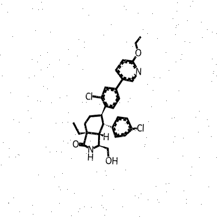 CCOc1ccc(-c2ccc([C@@H]3CC[C@@]4(CC)C(=O)N[C@H](CO)[C@H]4[C@H]3c3ccc(Cl)cc3)c(Cl)c2)cn1